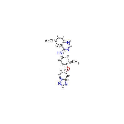 CC(=O)Oc1ccc2ncnc(Nc3ccc(Oc4ccn5ncnc5c4)c(C)c3)c2c1